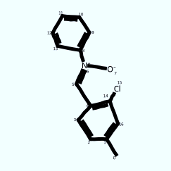 Cc1ccc(C=[N+]([O-])c2ccccc2)c(Cl)c1